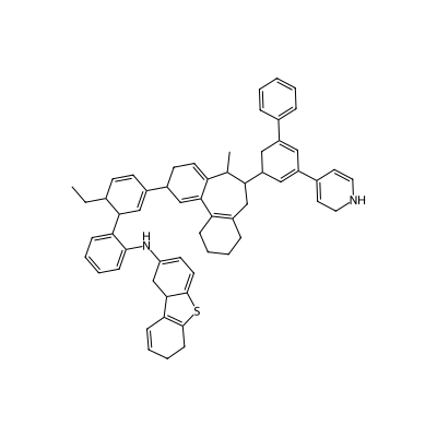 CCC1C=CC(C2C=C3C(=CC2)C(C)C(C2C=C(C4=CCNC=C4)C=C(c4ccccc4)C2)CC2=C3CCCC2)=CC1c1ccccc1NC1=CC=C2SC3=C(C=CCC3)C2C1